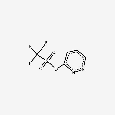 O=S(=O)(Oc1cccnn1)C(F)(F)F